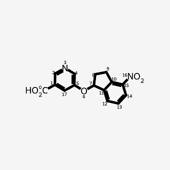 O=C(O)c1cncc(OC2CCc3c2cccc3[N+](=O)[O-])c1